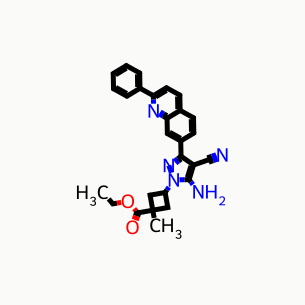 CCOC(=O)C1(C)CC(n2nc(-c3ccc4ccc(-c5ccccc5)nc4c3)c(C#N)c2N)C1